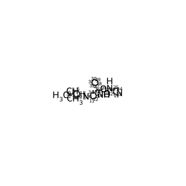 CC(C)(C)c1ccc(C=Nc2ccc3[nH]c(OC(=O)Nc4ccncc4)c(-c4ccccc4)c3c2)cc1